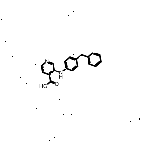 O=C(O)c1ccncc1Nc1ccc(Cc2ccccc2)cc1